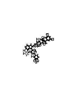 CC(C)[C@H](NC(=O)c1ccc2c(c1)OCO2)C(=O)C1c2ccccc2CC1NCC(=O)N[C@@H](CC(=O)O)C(=O)c1nc(-c2cc(Cl)cc(Cl)c2)co1